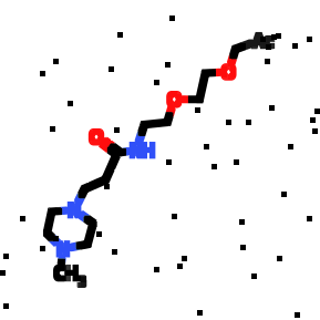 CC(=O)COCCOCCNC(=O)CCN1CCN(C)CC1